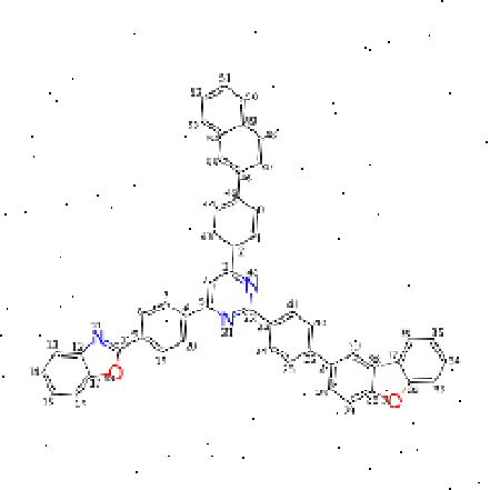 C1=CC(c2cc(-c3ccc(-c4nc5ccccc5o4)cc3)nc(-c3ccc(-c4ccc5oc6ccccc6c5c4)cc3)n2)CC=C1c1ccc2ccccc2c1